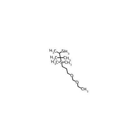 CCOCOCCC[Si](C)(C)C(C)(C)C(C)[SiH3]